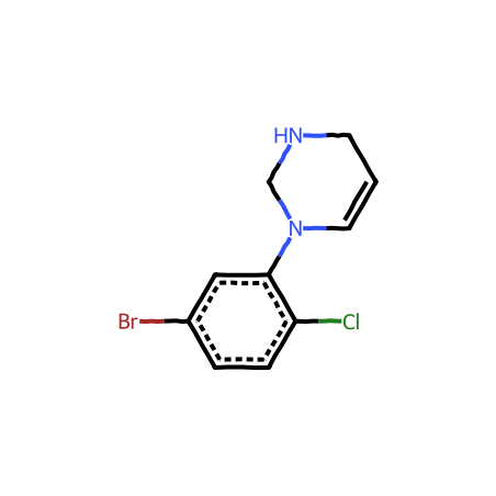 Clc1ccc(Br)cc1N1C=CCNC1